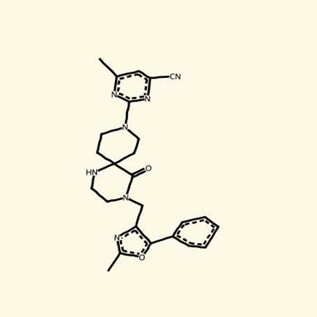 Cc1cc(C#N)nc(N2CCC3(CC2)NCCN(Cc2nc(C)oc2-c2ccccc2)C3=O)n1